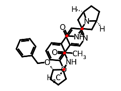 COc1cccc(C(=O)N[C@H]2C[C@H]3CC[C@@H](C2)N3c2ccc(C(=O)N[C@H]3CCC[C@@H]3OCc3ccccc3)cn2)c1C